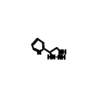 c1ccc(C2CNNN2)nc1